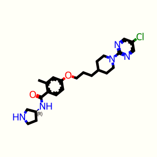 Cc1cc(OCCCC2CCN(c3ncc(Cl)cn3)CC2)ccc1C(=O)N[C@@H]1CCNC1